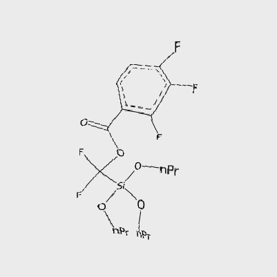 CCCO[Si](OCCC)(OCCC)C(F)(F)OC(=O)c1ccc(F)c(F)c1F